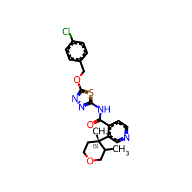 CC1COCC[C@]1(C)c1cnccc1C(=O)Nc1nnc(OCc2ccc(Cl)cc2)s1